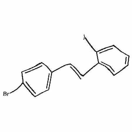 Brc1ccc(C=Cc2ccccc2I)cc1